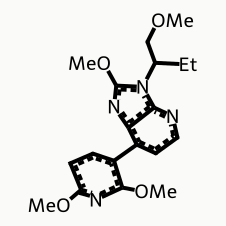 CCC(COC)n1c(OC)nc2c(-c3ccc(OC)nc3OC)ccnc21